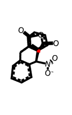 O=C1OC(=O)C2=C1C1c3ccccc3C2([N+](=O)[O-])c2ccccc21